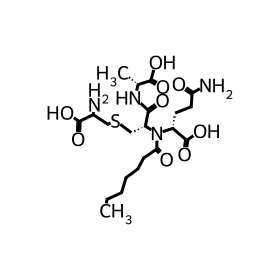 CCCCCCC(=O)N([C@H](CCC(N)=O)C(=O)O)[C@H](CSC[C@H](N)C(=O)O)C(=O)N[C@H](C)C(=O)O